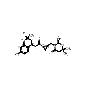 CC1(C)CC(=O)N(CC2C[C@H]2C(=O)NC2CC(C)(C)Oc3cc(Cl)ccc32)C(=N)N1